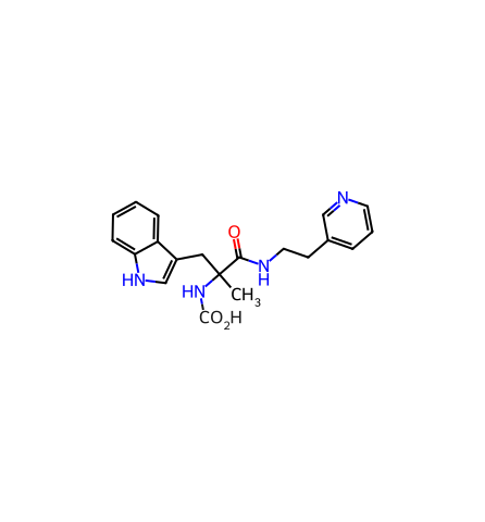 CC(Cc1c[nH]c2ccccc12)(NC(=O)O)C(=O)NCCc1cccnc1